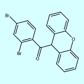 O=C(c1ccc(Br)cc1Br)C1c2ccccc2Oc2ccccc21